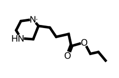 CCCOC(=O)CCCC1CNCC[N]1